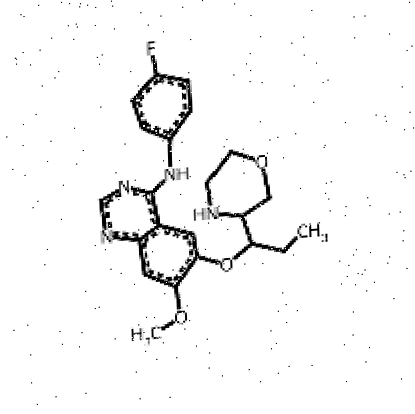 CCC(Oc1cc2c(Nc3ccc(F)cc3)ncnc2cc1OC)C1COCCN1